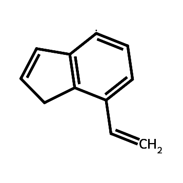 C=Cc1cc[c]c2c1CC=C2